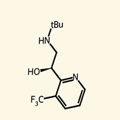 CC(C)(C)NC[C@H](O)c1ncccc1C(F)(F)F